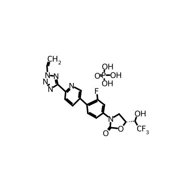 C=Cn1nnc(-c2ccc(-c3ccc(N4C[C@H](C(O)C(F)(F)F)OC4=O)cc3F)cn2)n1.O=P(O)(O)O